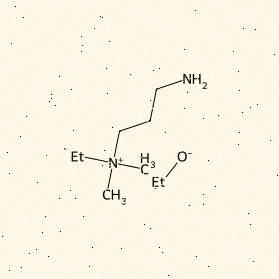 CC[N+](C)(C)CCCN.CC[O-]